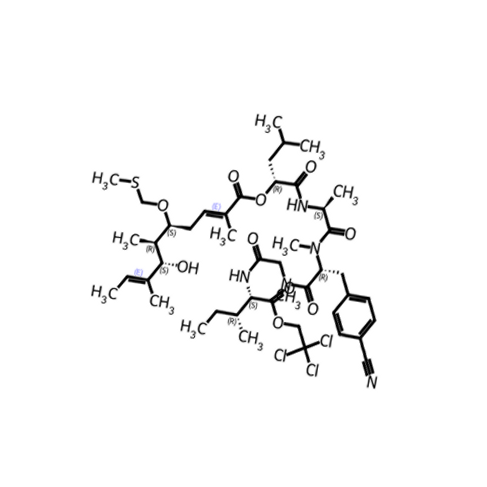 C/C=C(\C)[C@@H](O)[C@@H](C)[C@H](C/C=C(\C)C(=O)O[C@H](CC(C)C)C(=O)N[C@@H](C)C(=O)N(C)[C@H](Cc1ccc(C#N)cc1)C(=O)N(C)CC(=O)N[C@H](C(=O)OCC(Cl)(Cl)Cl)[C@H](C)CC)OCSC